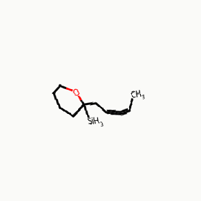 CC=C=CCC1([SiH3])CCCCO1